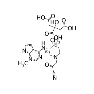 C[C@@H]1CCN(CC(=O)C#N)C[C@@H]1Nc1ncn(C)c2nccc1-2.O=C(O)CC(O)(CC(=O)O)C(=O)O